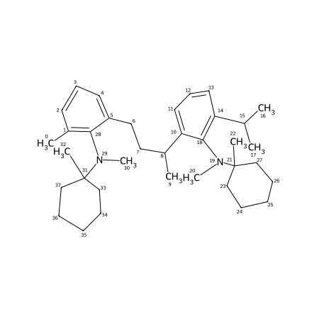 Cc1cccc(CCC(C)c2cccc(C(C)C)c2N(C)C2(C)CCCCC2)c1N(C)C1(C)CCCCC1